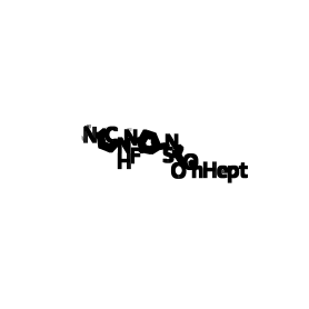 CCCCCCCOC(=O)c1cnc(-c2ccc(N(C)Nc3ccc(N(C)C)cc3)c(F)c2)s1